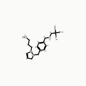 OCCCN1C=CCN1Cc1ccc(COCC(F)(F)F)cc1